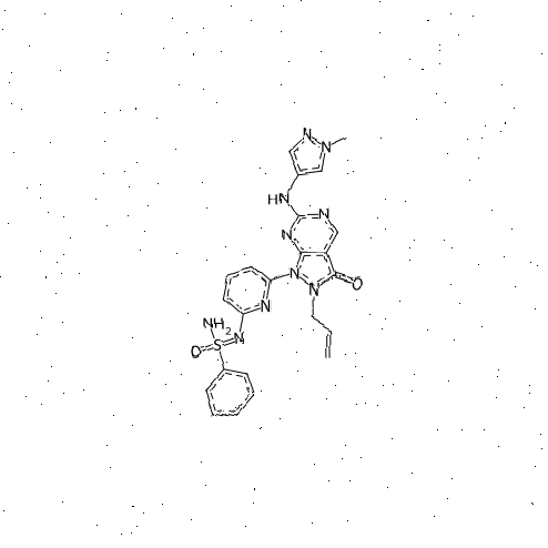 C=CCn1c(=O)c2cnc(Nc3cnn(C)c3)nc2n1-c1cccc(N=S(N)(=O)c2ccccc2)n1